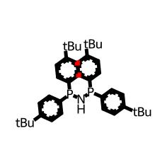 CC(C)(C)c1ccc(P(NP(c2ccc(C(C)(C)C)cc2)c2ccc(C(C)(C)C)cc2)c2ccc(C(C)(C)C)cc2)cc1